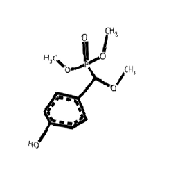 COC(c1ccc(O)cc1)P(=O)(OC)OC